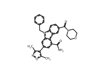 Cc1noc(C)c1-c1cc(C(N)=O)c2c3cc(C(=O)N4CCOCC4)ccc3n(Cc3ccccc3)c2c1